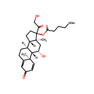 CCCCCCCCCCCCCC(=O)O[C@]1(C(=O)CO)CC[C@H]2[C@@H]3CCC4=CC(=O)C=C[C@]4(C)[C@H]3[C@@H](O)C[C@@]21C